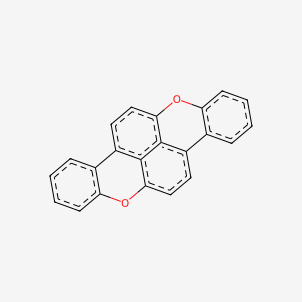 c1ccc2c(c1)Oc1ccc3c4c(ccc-2c14)Oc1ccccc1-3